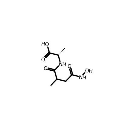 CC(CC(=O)NO)C(=O)N[C@@H](C)C(=O)O